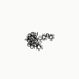 C[C@H]([C@H](CCc1ccccc1)c1ccc(Oc2ccccc2)cc1)N(CC(=O)O)C(=O)C[C@]1(OC(=O)O)OC(C)(C)O[C@@H]1OC(=O)O